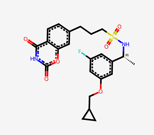 C[C@@H](NS(=O)(=O)CCCc1ccc2c(=O)[nH]c(=O)oc2c1)c1cc(F)cc(OCC2CC2)c1